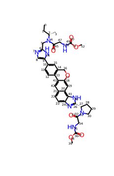 CC[C@H](C)N(Cc1ncc(-c2ccc3c(c2)COc2cc4c(ccc5nc([C@@H]6CCCN6C(=O)CNC(=O)OC)[nH]c54)cc2-3)[nH]1)C(=O)CNC(=O)OC